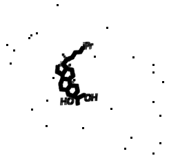 CC(C)CCC[C@@H](C)[C@H]1CCC2C3CCC4CC(O)(C(C)CO)CC[C@]4(C)C3CC[C@@]21C